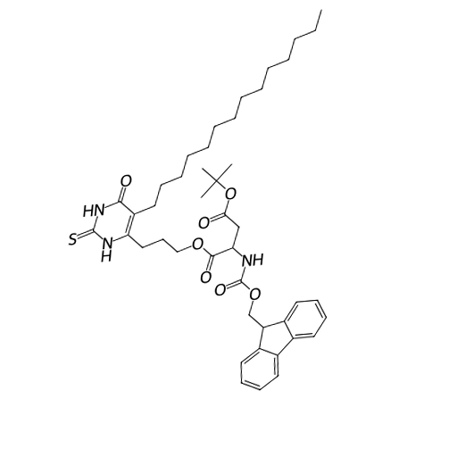 CCCCCCCCCCCCCCc1c(CCCOC(=O)C(CC(=O)OC(C)(C)C)NC(=O)OCC2c3ccccc3-c3ccccc32)[nH]c(=S)[nH]c1=O